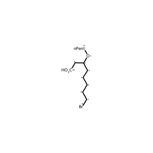 CCCCCOC(CCCCCBr)CC(=O)O